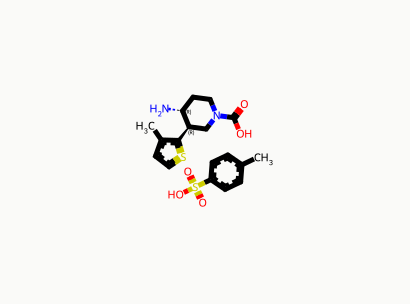 Cc1ccc(S(=O)(=O)O)cc1.Cc1ccsc1[C@@H]1CN(C(=O)O)CC[C@H]1N